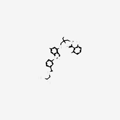 CCN(CC(O)(CF)CNc1cc(C)cc2c1cnn2-c1cccc(C(=O)NC[C@H](C)O)c1)C(=O)c1c(Cl)cccc1Cl